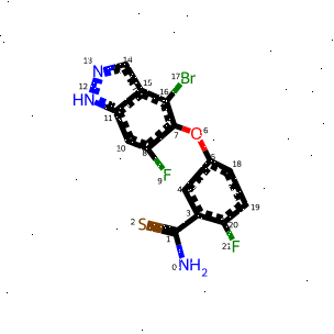 NC(=S)c1cc(Oc2c(F)cc3[nH]ncc3c2Br)ccc1F